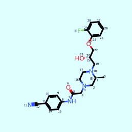 C[C@H]1CN(CC(=O)Nc2ccc(C#N)cc2)CCN1C[C@H](O)COc1ccccc1F